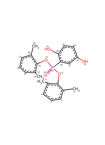 Cc1cccc(C)c1OP(=O)(Oc1c(C)cccc1C)c1cc(O)ccc1O